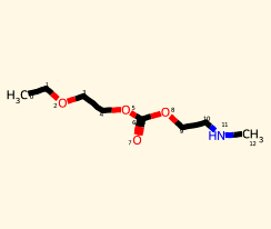 CCOCCOC(=O)OCCNC